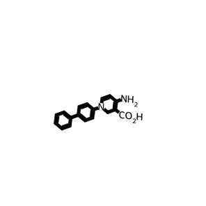 NC1=C(C(=O)O)CN(c2ccc(-c3ccccc3)cc2)C=C1